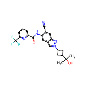 CC(C)(O)C1CC(n2cc3cc(NC(=O)c4cccc(C(F)(F)F)n4)c(C#N)cc3n2)C1